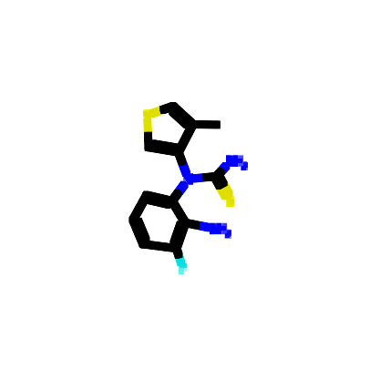 Cc1cscc1N(C(N)=S)c1cccc(F)c1N